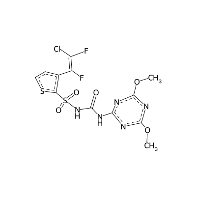 COc1nc(NC(=O)NS(=O)(=O)c2sccc2C(F)=C(F)Cl)nc(OC)n1